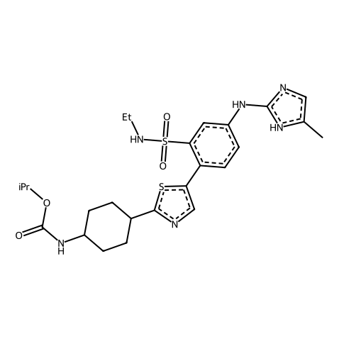 CCNS(=O)(=O)c1cc(Nc2ncc(C)[nH]2)ccc1-c1cnc(C2CCC(NC(=O)OC(C)C)CC2)s1